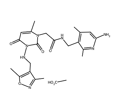 CC(=O)O.Cc1cc(N)nc(C)c1CNC(=O)Cn1c(C)cc(=O)n(NCc2c(C)noc2C)c1=O